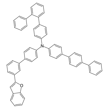 c1ccc(-c2ccc(-c3ccc(N(c4ccc(-c5cccc(-c6cc7ccccc7o6)c5)cc4)c4ccc(-c5ccccc5-c5ccccc5)cc4)cc3)cc2)cc1